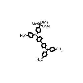 CO[Si](OC)(OC)c1ccc(N(c2ccc(C)cc2)c2ccc(-c3ccc(N(c4ccc(C)cc4)c4ccc(C)cc4)cc3)cc2)cc1